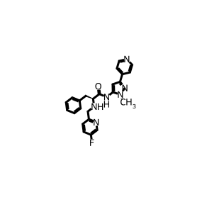 Cn1nc(-c2ccncc2)cc1NC(=O)[C@H](Cc1ccccc1)NCc1ccc(F)cn1